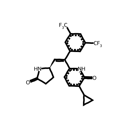 O=C1CC[C@H](C=C(c2cc(C(F)(F)F)cc(C(F)(F)F)c2)c2ccc(C3CC3)c(=O)[nH]2)N1